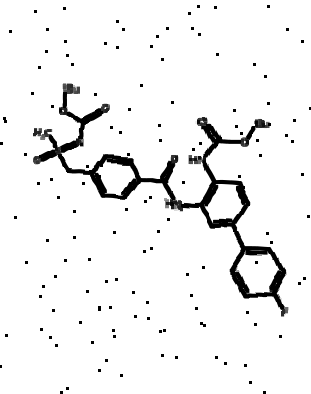 CC(C)(C)OC(=O)N=S(C)(=O)Cc1ccc(C(=O)Nc2cc(-c3ccc(F)cc3)ccc2NC(=O)OC(C)(C)C)cc1